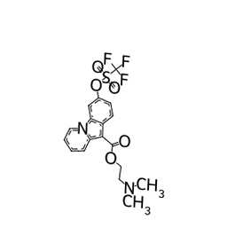 CN(C)CCOC(=O)c1c2ccc(OS(=O)(=O)C(F)(F)F)cc2n2ccccc12